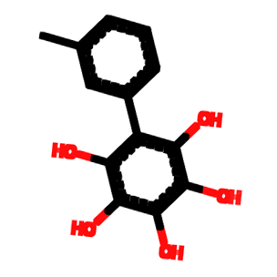 Cc1cccc(-c2c(O)c(O)c(O)c(O)c2O)c1